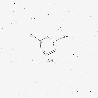 CC(C)c1[c]ccc(C(C)C)c1.[AlH3]